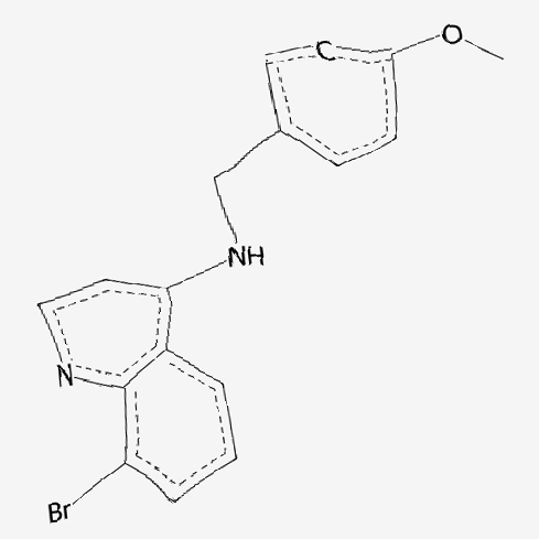 COc1ccc(CNc2ccnc3c(Br)cccc23)cc1